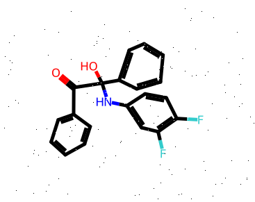 O=C(c1ccccc1)C(O)(Nc1ccc(F)c(F)c1)c1ccccc1